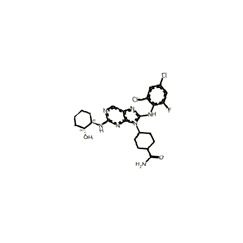 NC(=O)C1CCC(n2c(Nc3c(F)cc(Cl)cc3Cl)nc3cnc(N[C@@H]4CCCC[C@H]4O)nc32)CC1